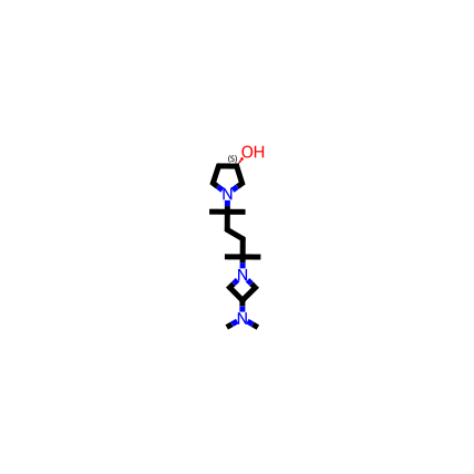 CN(C)C1CN(C(C)(C)CCC(C)(C)N2CC[C@H](O)C2)C1